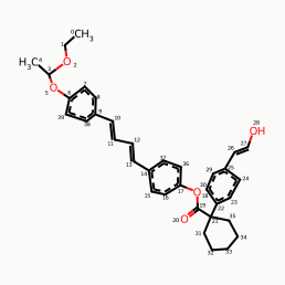 CCOC(C)Oc1ccc(C=CC=Cc2ccc(OC(=O)C3(c4ccc(C=CO)cc4)CCCCC3)cc2)cc1